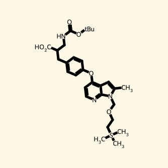 Cc1cc2c(Oc3ccc(CC(CNC(=O)OC(C)(C)C)C(=O)O)cc3)ccnc2n1COCCS(C)(C)C